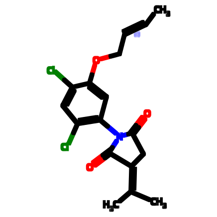 C/C=C/COc1cc(N2C(=O)CC(=C(C)C)C2=O)c(Cl)cc1Cl